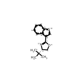 CC(C)(C)[C@H]1COC(c2csc3ccccc23)=N1